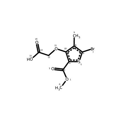 COC(=O)c1sc(Br)c(C)c1OCC(=O)O